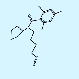 Cc1cc(C)c(C(=O)C(CCCCP=O)C2CCCC2)c(C)c1